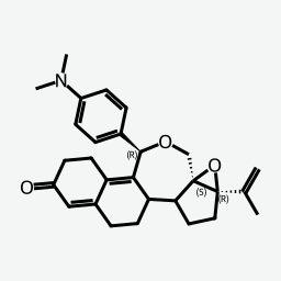 C=C(C)[C@]12CCC3C4CCC5=CC(=O)CCC5=C4[C@@H](c4ccc(N(C)C)cc4)OC[C@@]31O2